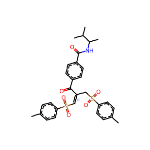 Cc1ccc(S(=O)(=O)/C=C(/CS(=O)(=O)c2ccc(C)cc2)C(=O)c2ccc(C(=O)NC(C)C(C)C)cc2)cc1